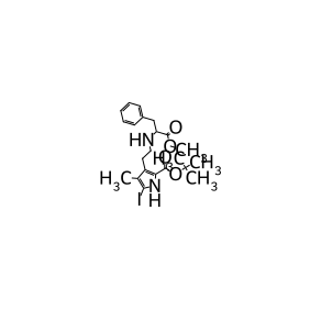 COC(=O)C(Cc1ccccc1)NCCc1c(C(=O)OC(C)(C)C)[nH]c(I)c1C